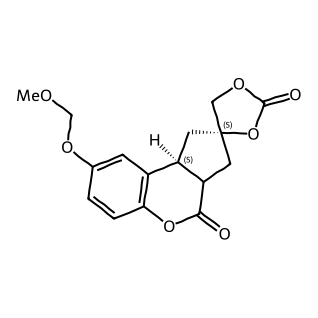 COCOc1ccc2c(c1)[C@H]1C[C@@]3(COC(=O)O3)CC1C(=O)O2